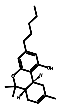 CCCCCc1cc(O)c2c(c1)OC(C)(C)[C@H]1CC=C(C)C[C@H]21